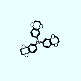 c1cc2c(c[c]1[Bi]([c]1ccc3c(c1)OCCO3)[c]1ccc3c(c1)OCCO3)OCCO2